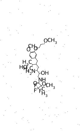 COCCCOc1cc(CC(CC(N)C(O)CNC(=O)[C@](C)(OC)C(F)(F)F)C(C)C)ccc1OC.Cl